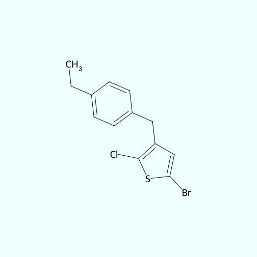 CCc1ccc(Cc2cc(Br)sc2Cl)cc1